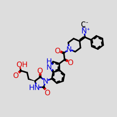 [C-]#[N+]C(=C1CCN(C(=O)C(=O)c2c[nH]c3c(N4C(=O)N[C@@H](CCC(=O)O)C4=O)cccc23)CC1)c1ccccc1